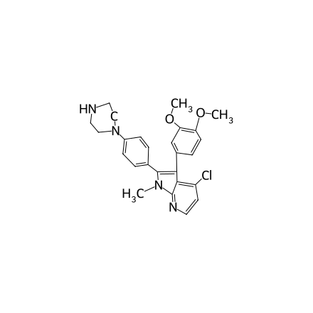 COc1ccc(-c2c(-c3ccc(N4CCNCC4)cc3)n(C)c3nccc(Cl)c23)cc1OC